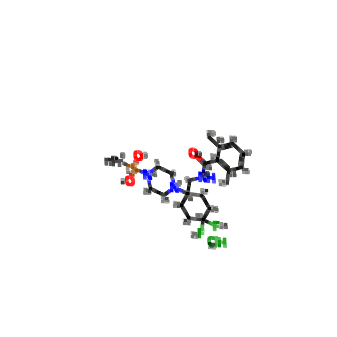 CCCS(=O)(=O)N1CCN(C2(CNC(=O)c3c(C)cccc3C)CCC(F)(F)CC2)CC1.Cl